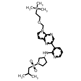 CC(C)CS(=O)(=O)N1CC[C@@H](Nc2ncccc2-c2cnc3c(ccn3COCC[Si](C)(C)C)n2)C1